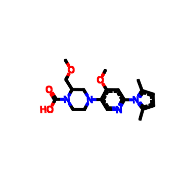 COCC1CN(c2cnc(-n3c(C)ccc3C)cc2OC)CCN1C(=O)O